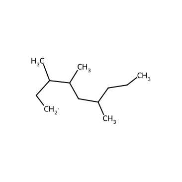 [CH2]CC(C)C(C)CC(C)CCC